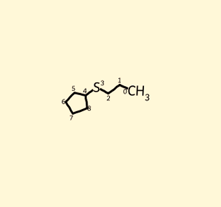 CCCSC1CCCC1